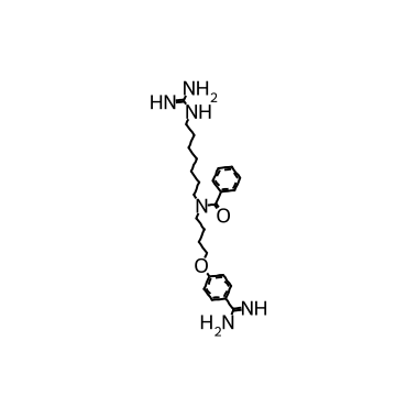 N=C(N)NCCCCCCCN(CCCCOc1ccc(C(=N)N)cc1)C(=O)c1ccccc1